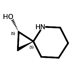 O[C@H]1C[C@@]12CCCCN2